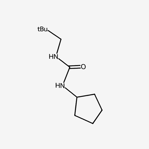 CC(C)(C)CNC(=O)NC1CCCC1